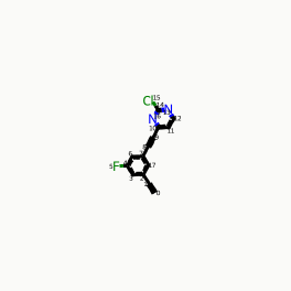 C#Cc1cc(F)cc(C#Cc2ccnc(Cl)n2)c1